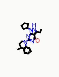 CCc1[nH]n(C2CCCC2)c2nc(N3CCC(C)c4ccccc43)nc(=O)c1-2